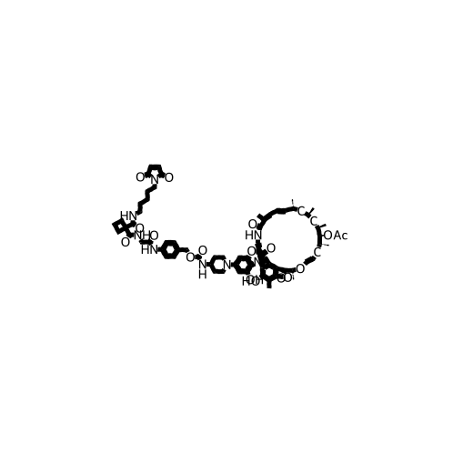 CC(=O)O[C@@H]1[C@H](C)C/C=C/O[C@@]2(C)Oc3c(C)c(O)c4c(=O)c(c5oc6cc(N7CCC(NC(=O)OCc8ccc(NC(=O)CNC(=O)C9(C(=O)NCCCCCN%10C(=O)C=CC%10=O)CCC9)cc8)CC7)cc(O)c6nc-5c4c3C2=O)NC(=O)/C(C)=C\C=C\[C@H](C)C[C@@H](C)C[C@H]1C